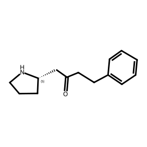 O=C(CCc1ccccc1)C[C@@H]1CCCN1